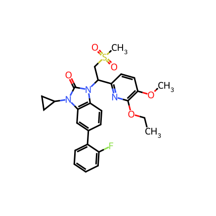 CCOc1nc(C(CS(C)(=O)=O)n2c(=O)n(C3CC3)c3cc(-c4ccccc4F)ccc32)ccc1OC